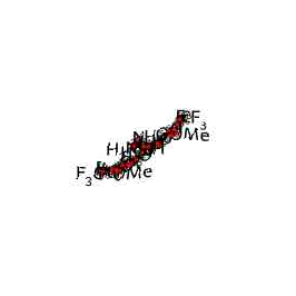 COc1cc(C(=O)Oc2ccc(C=CC(=O)CC(c3cc(N)cc(N)c3)C(O)(O)C(=O)C=Cc3ccc(OC(=O)c4ccc(OCCCC(F)(F)C(F)(F)F)c(OC)c4)cc3)cc2)ccc1OCCCC(F)(F)C(F)(F)F